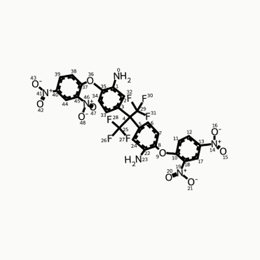 Nc1cc(C(c2ccc(Oc3ccc([N+](=O)[O-])cc3[N+](=O)[O-])c(N)c2)(C(F)(F)F)C(F)(F)F)ccc1Oc1ccc([N+](=O)[O-])cc1[N+](=O)[O-]